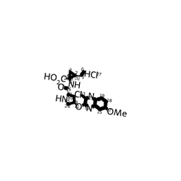 C=C[C@@H]1C[C@]1(NC(=O)[C@@H]1C[C@@H](Oc2nc3cc(OC)ccc3nc2Cl)CN1)C(=O)O.Cl